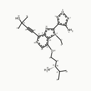 CCn1c(-c2nonc2N)nc2c(C#CC(C)(C)O)ncc(OCC[C@@H](N)C(C)C)c21